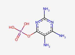 Nc1nc(N)c(N)c(OP(=O)(O)O)n1